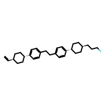 C=C[C@H]1CC[C@H](c2ccc(CCc3ccc([C@H]4CC[C@H](CCCF)CC4)cc3)cc2)CC1